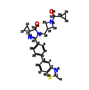 Cc1nc2cc(-c3ccc(C4=NC5(CC5)C(=O)N4CC4CN(C(=O)C5CC5)C4)cc3)ccc2s1